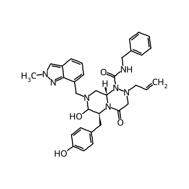 C=CCN1CC(=O)N2[C@@H](Cc3ccc(O)cc3)C(O)N(Cc3cccc4cn(C)nc34)C[C@@H]2N1C(=O)NCc1ccccc1